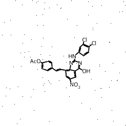 CC(=O)Oc1ccc(C=Cc2cc([N+](=O)[O-])cc3c(O)nc(Nc4ccc(Cl)c(Cl)c4)nc23)cc1